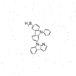 Bc1ccc2c(c1)c1ccc(-n3c4ccccc4c4cccnc43)cc1n2-c1ccccc1